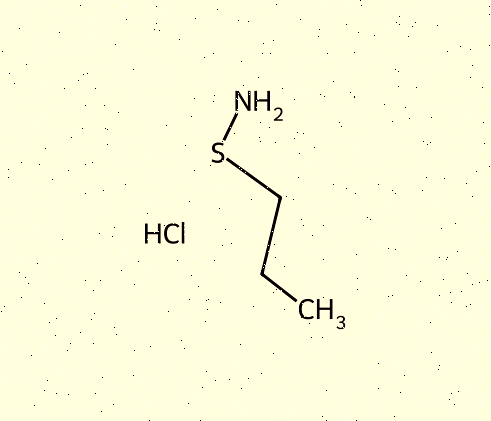 CCCSN.Cl